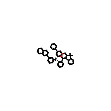 CC1(C)c2ccccc2-c2c(-c3ccccc3N(c3cccc(-c4ccccc4)c3)c3cccc(-c4ccc5ccccc5c4)c3)cccc21